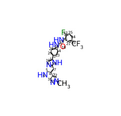 Cn1cc(/C(C=N)=C/c2ncc(-c3ccc(NC(=O)Nc4cc(C(F)(F)F)ccc4F)cc3)[nH]2)cn1